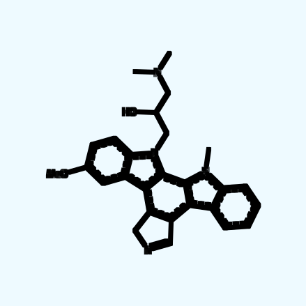 COc1ccc2c(c1)c1c3c(c4c5ccccc5n(C)c4c1n2CC(O)CN(C)C)C=NC3